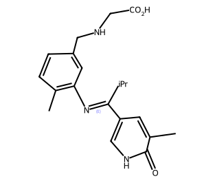 Cc1ccc(CNCC(=O)O)cc1/N=C(/c1c[nH]c(=O)c(C)c1)C(C)C